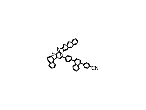 N#Cc1ccc(-c2ccc(-c3ccc(-c4cc5c(sc6ccc7ccccc7c65)c5nc6cc7cc8ccccc8cc7cc6n45)cc3)c3ccccc23)cc1